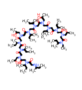 CCC(C)NCC(=O)N(CC(=O)N(CC(=O)N(CC(=O)N(CC(=O)N(CC(=O)N(CC(=O)N(CC(=O)N(CC(=O)N(CC(=O)N(CC(=O)N(CC(=O)N(CC)C(C)CC)CC(C)O)C(C)CC)C(C)CC)CC(C)O)C(C)CC)C(C)CC)CC(C)O)C(C)CC)C(C)CC)CC(C)O)C(C)CC